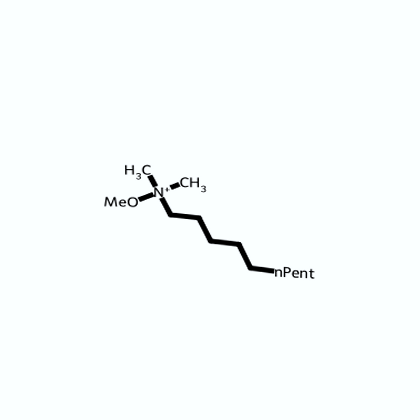 CCCCCCCCCC[N+](C)(C)OC